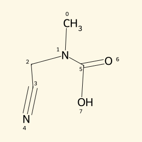 CN(CC#N)C(=O)O